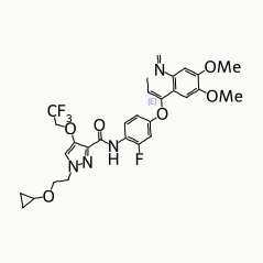 C=Nc1cc(OC)c(OC)cc1/C(=C\C)Oc1ccc(NC(=O)c2nn(CCOC3CC3)cc2OCC(F)(F)F)c(F)c1